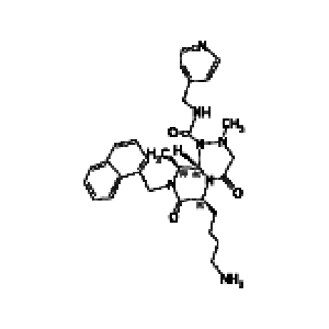 C[C@H]1[C@H]2N(C(=O)CN(C)N2C(=O)NCc2ccncc2)[C@@H](CCCCN)C(=O)N1Cc1cccc2ccccc12